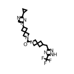 O=C(N1CC2(CC(Cc3n[nH]c(C(F)(F)F)n3)C2)C1)N1CC2(CC(n3cnc(C4CC4)n3)C2)C1